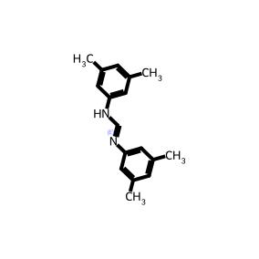 Cc1cc(C)cc(/N=C/Nc2cc(C)cc(C)c2)c1